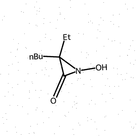 CCCCC1(CC)C(=O)N1O